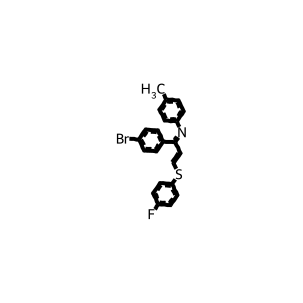 Cc1ccc(/N=C(/C=C/Sc2ccc(F)cc2)c2ccc(Br)cc2)cc1